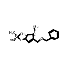 CC(C)(C)O[C@@H]1CC(O[Si](C)(C)C(C)(C)C)C=C1COCc1ccccc1